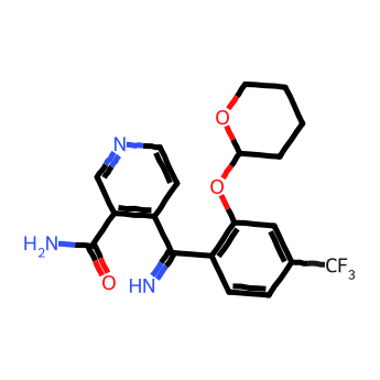 N=C(c1ccc(C(F)(F)F)cc1OC1CCCCO1)c1ccncc1C(N)=O